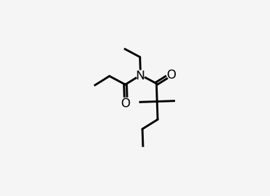 CCCC(C)(C)C(=O)N(CC)C(=O)CC